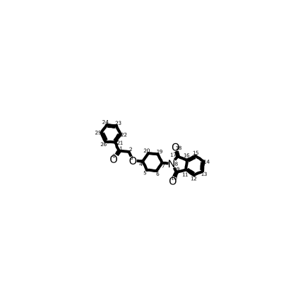 O=C(COC1CCC(N2C(=O)c3ccccc3C2=O)CC1)c1ccccc1